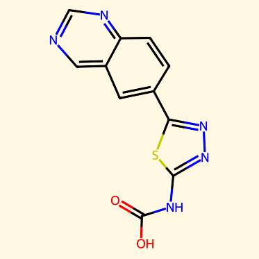 O=C(O)Nc1nnc(-c2ccc3ncncc3c2)s1